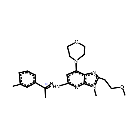 COCCc1nc2c(N3CCOCC3)cc(N/N=C(\C)c3cccc(C)c3)nc2n1C